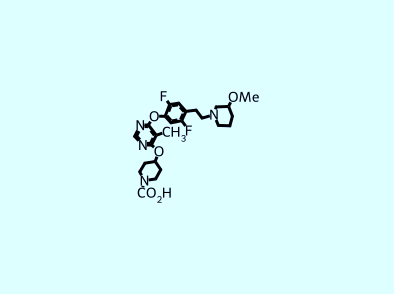 COC1CCCN(CCc2cc(F)c(Oc3ncnc(OC4CCN(C(=O)O)CC4)c3C)cc2F)C1